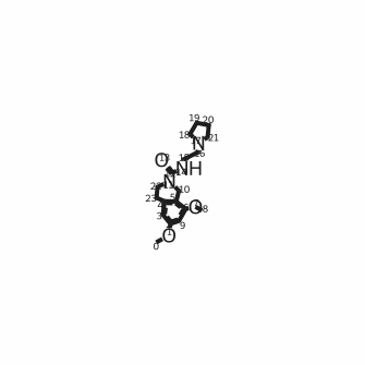 COc1cc2c(c(OC)c1)CN(C(=O)NCCN1CCCC1)CC2